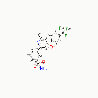 C[C@H]1CC(O)(c2ccc(C(F)(F)F)cc2)C[C@@H](c2cccc(S(N)(=O)=O)c2)N1